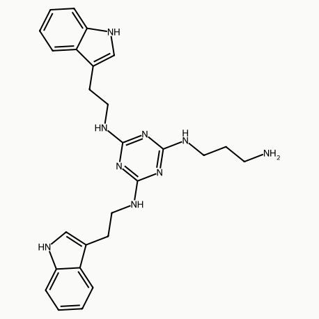 NCCCNc1nc(NCCc2c[nH]c3ccccc23)nc(NCCc2c[nH]c3ccccc23)n1